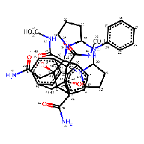 NC(=O)C[C@@]1(O)Cc2ccc(cc2)[C@]1(C(=O)NC(=O)O)N1CCCC1N(c1ccccc1)C1CCCN1[C@@]1(C(=O)NC(=O)O)c2ccc(cc2)C[C@]1(O)CC(N)=O